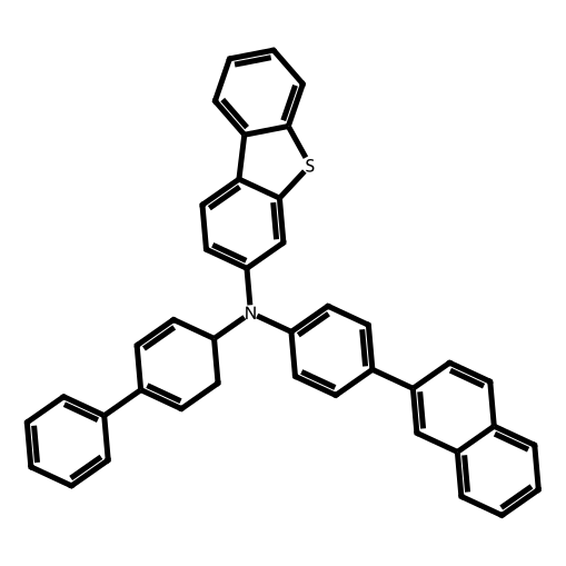 C1=CC(N(c2ccc(-c3ccc4ccccc4c3)cc2)c2ccc3c(c2)sc2ccccc23)CC=C1c1ccccc1